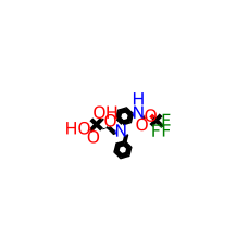 CC(CO)(C[C@H]1CN(Cc2ccccc2)c2cc(NC(=O)OC(C)(C)C(F)(F)F)ccc2O1)C(=O)O